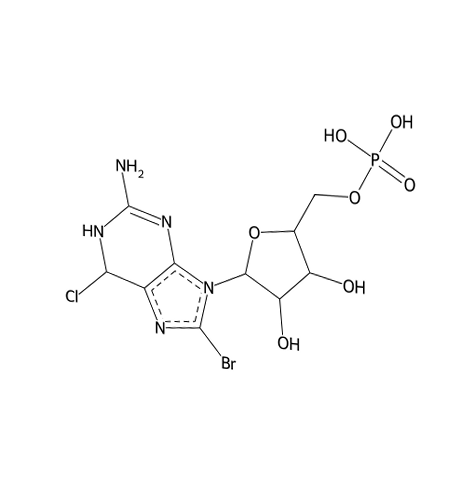 NC1=Nc2c(nc(Br)n2C2OC(COP(=O)(O)O)C(O)C2O)C(Cl)N1